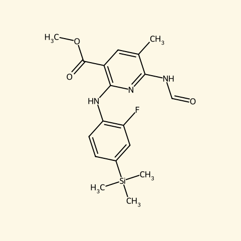 COC(=O)c1cc(C)c(NC=O)nc1Nc1ccc([Si](C)(C)C)cc1F